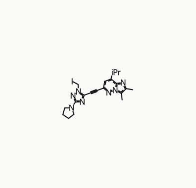 Cc1nc2c(C(C)C)cc(C#Cc3nc(N4CCCC4)nn3CI)nn2c1C